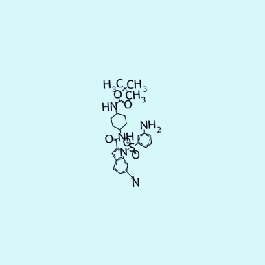 CC(C)(C)OC(=O)NC1CCC(NC(=O)c2cc3ccc(C#N)cc3n2S(=O)(=O)c2cccc(N)c2)CC1